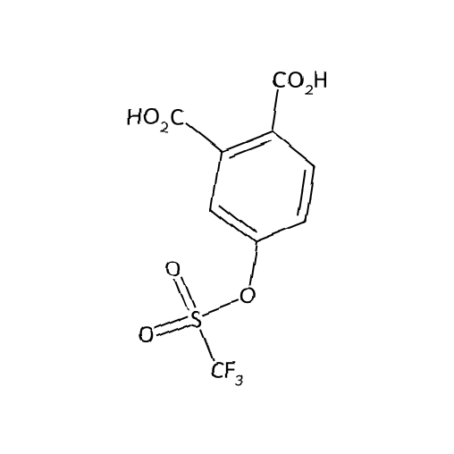 O=C(O)c1ccc(OS(=O)(=O)C(F)(F)F)cc1C(=O)O